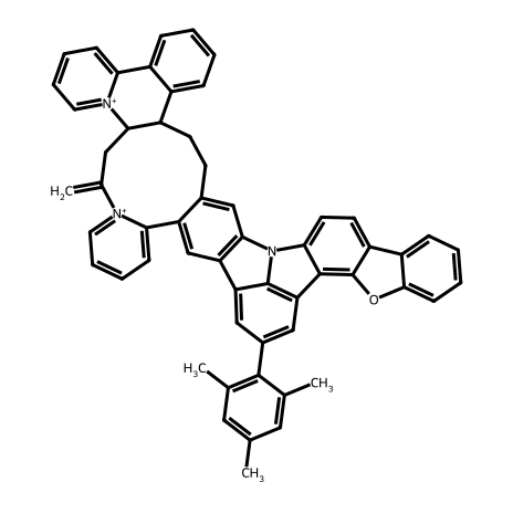 C=C1CC2C(CCc3cc4c(cc3-c3cccc[n+]31)c1cc(-c3c(C)cc(C)cc3C)cc3c5c6oc7ccccc7c6ccc5n4c13)c1ccccc1-c1cccc[n+]12